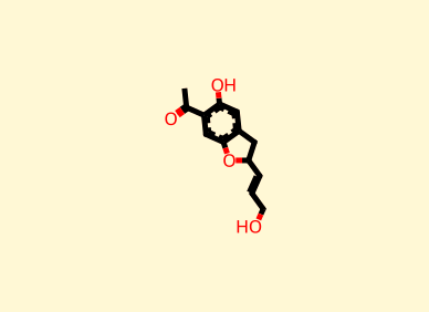 CC(=O)c1cc2c(cc1O)CC(C=CCO)O2